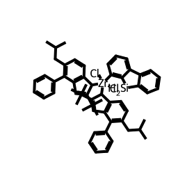 CC(C)Cc1ccc2c(c1-c1ccccc1)C=C(C(C)(C)C)[CH]2[Zr]([Cl])([Cl])([c]1cccc2c1[SiH2]c1ccccc1-2)[CH]1C(C(C)(C)C)=Cc2c1ccc(CC(C)C)c2-c1ccccc1